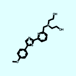 COc1ccc(-c2cnc(-c3cccc(CN(CCO)CCO)n3)s2)cc1